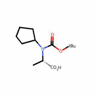 C[C@@H](C(=O)O)N(C(=O)OC(C)(C)C)C1CCCC1